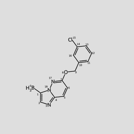 Bc1cnc2ccc(OCc3cccc(Cl)c3)nn12